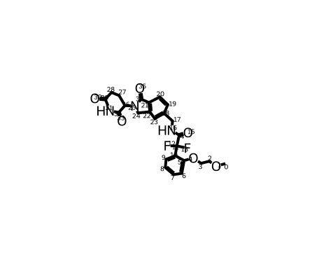 COCCOc1ccccc1C(F)(F)C(=O)NCc1ccc2c(c1)CN(C1CCC(=O)NC1=O)C2=O